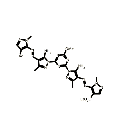 CCOC(=O)c1cnn(C)c1/N=N/c1c(C)nn(-c2nc(OC)nc(-n3nc(C)c(/N=N/c4c(C(C)=O)cnn4C)c3N)n2)c1N